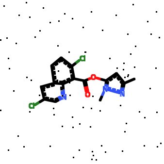 Cc1cc(OC(=O)c2c(Cl)ccc3cc(Cl)cnc23)n(C)n1